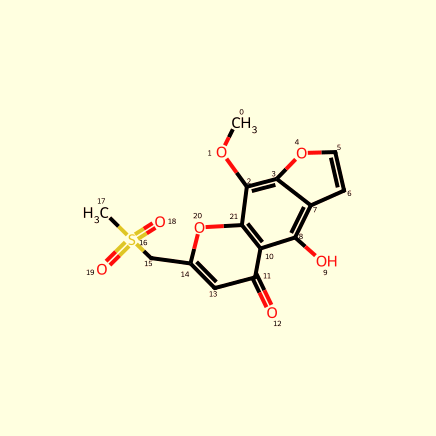 COc1c2occc2c(O)c2c(=O)cc(CS(C)(=O)=O)oc12